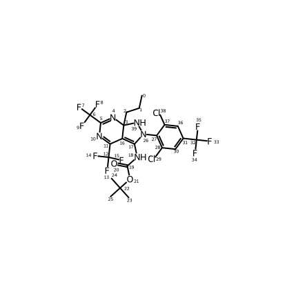 CCCC12N=C(C(F)(F)F)N=C(C(F)(F)F)C1=C(NC(=O)OC(C)(C)C)N(c1c(Cl)cc(C(F)(F)F)cc1Cl)N2